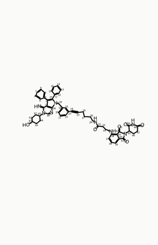 N=c1c2c(-c3ccccc3)c(-c3ccccc3)n(Cc3cccc(C#CCCCCNC(=O)CCNc4cccc5c4C(=O)N(C4CCC(=O)NC4=O)C5=O)c3)c2ncn1C1CCC(O)CC1